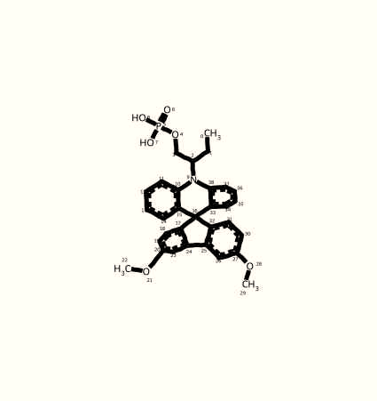 CCC(COP(=O)(O)O)N1c2ccccc2C2(c3ccc(OC)cc3-c3cc(OC)ccc32)c2ccccc21